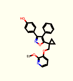 CCOc1ncccc1OCC1(c2onc(-c3ccc(O)cc3)c2-c2ccccc2)CC1